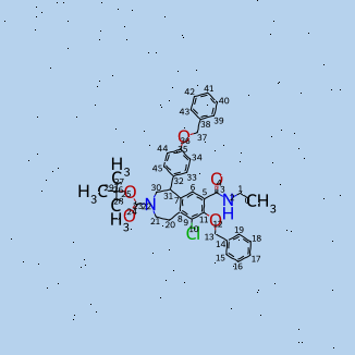 CCNC(=O)c1cc2c(c(Cl)c1OCc1ccccc1)CCN(C(=O)OC(C)(C)C)CC2c1ccc(OCc2ccccc2)cc1